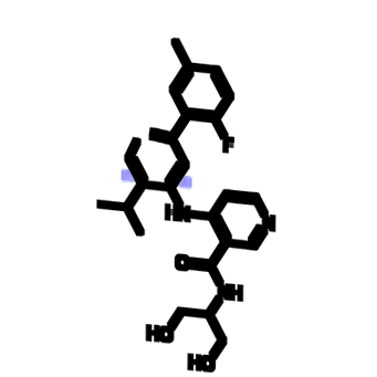 C=C(/C=C(Nc1ccncc1C(=O)NC(CO)CO)\C(=C/C)C(C)C)c1cc(C)ccc1F